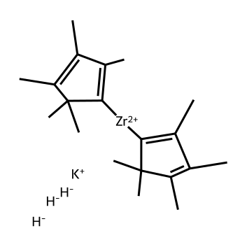 CC1=C(C)C(C)(C)[C]([Zr+2][C]2=C(C)C(C)=C(C)C2(C)C)=C1C.[H-].[H-].[H-].[K+]